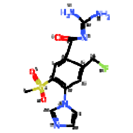 CS(=O)(=O)c1cc(C(=O)N=C(N)N)c(CF)cc1-n1ccnc1